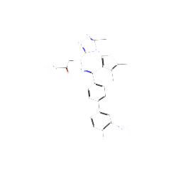 Cc1sc2c(c1C)C(c1ccc(-c3ccc(F)c(N)c3)cc1)=N[C@@H](CC(N)=O)c1nnc(C)n1-2